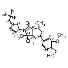 CCC1N=CC(C2CC(C)C3C(=O)N(C4C=NN(CC(F)(F)F)C4)C(C)(C)C3=N2)=CC1OC